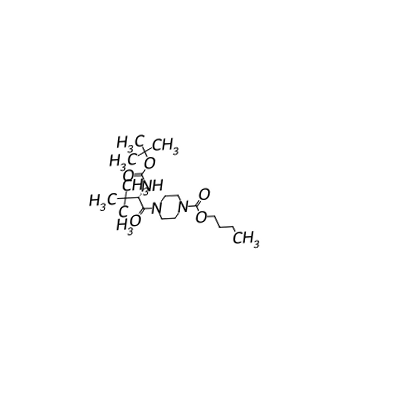 CCCCOC(=O)N1CCN(C(=O)[C@@H](NC(=O)OC(C)(C)C)C(C)(C)C)CC1